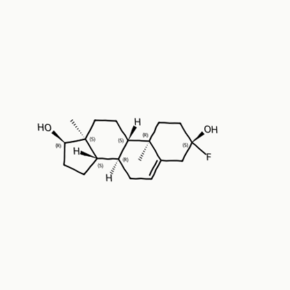 C[C@]12CC[C@H]3[C@@H](CC=C4C[C@@](O)(F)CC[C@@]43C)[C@@H]1CC[C@H]2O